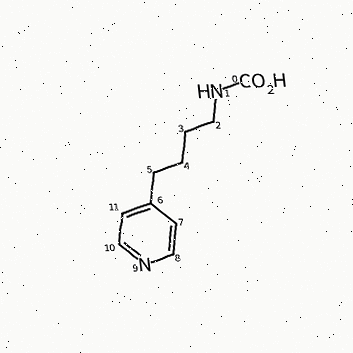 O=C(O)NCCCCc1ccncc1